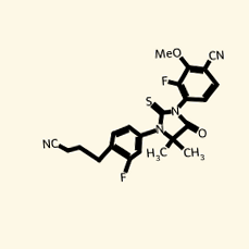 COc1c(C#N)ccc(N2C(=O)C(C)(C)N(c3ccc(CCCC#N)c(F)c3)C2=S)c1F